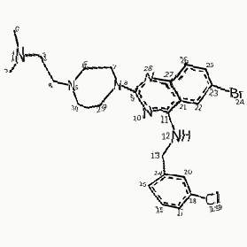 CN(C)CCN1CCN(c2nc(NCc3cccc(Cl)c3)c3cc(Br)ccc3n2)CC1